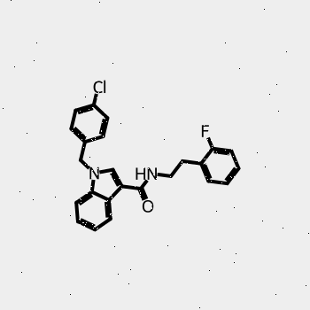 O=C(NCCc1ccccc1F)c1cn(Cc2ccc(Cl)cc2)c2ccccc12